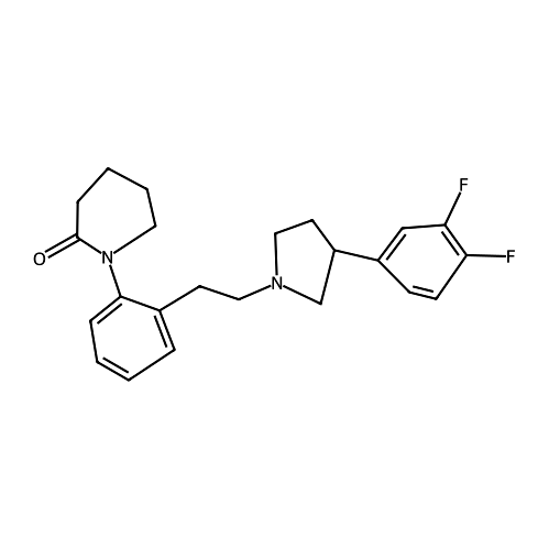 O=C1CCCCN1c1ccccc1CCN1CCC(c2ccc(F)c(F)c2)C1